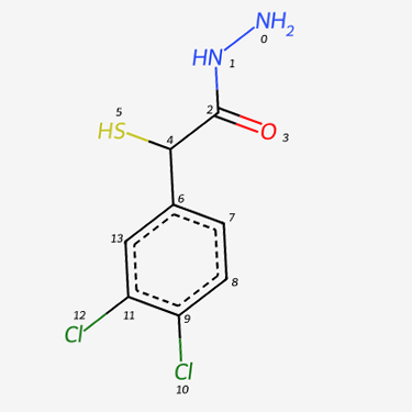 NNC(=O)C(S)c1ccc(Cl)c(Cl)c1